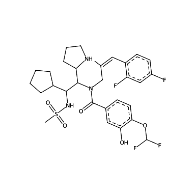 CC(=Cc1ccc(F)cc1F)CN(C(=O)c1ccc(OC(F)F)c(O)c1)C(C1CCCN1)C(NS(C)(=O)=O)C1CCCC1